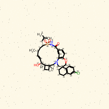 CC(C)C[C@H]1C[C@@H](C)/C=C/[C@H](O)[C@@H]2CC[C@H]2CN2C[C@@]3(CCCc4cc(Cl)ccc43)COc3ccc(cc32)C(=O)NS1(=O)=O